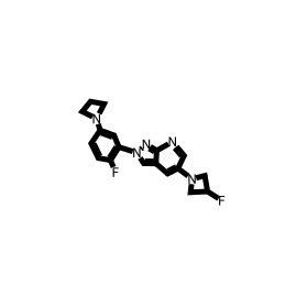 Fc1ccc(N2CCC2)cc1-n1cc2cc(N3CC(F)C3)cnc2n1